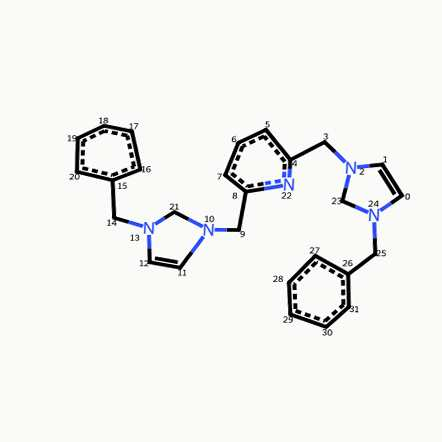 C1=CN(Cc2cccc(CN3C=CN(Cc4ccccc4)C3)n2)CN1Cc1ccccc1